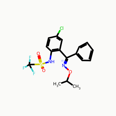 CC(C)O/N=C(\c1ccccc1)c1cc(Cl)ccc1NS(=O)(=O)C(F)(F)F